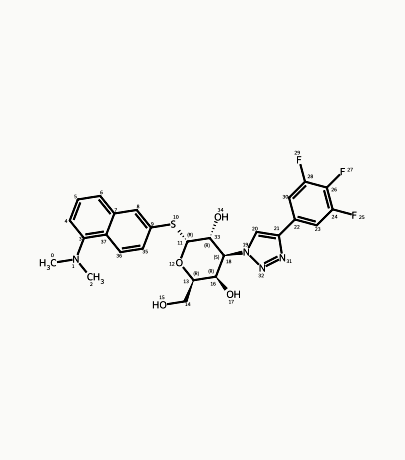 CN(C)c1cccc2cc(S[C@H]3O[C@H](CO)[C@H](O)[C@H](n4cc(-c5cc(F)c(F)c(F)c5)nn4)[C@H]3O)ccc12